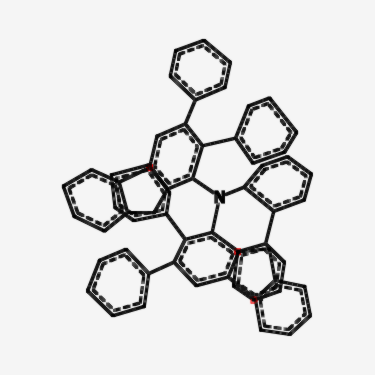 c1ccc(-c2ccccc2N(c2c3c(cc(-c4ccccc4)c2-c2ccccc2)-c2ccccc2C3)c2c3c(cc(-c4ccccc4)c2-c2ccccc2)-c2ccccc2C3)cc1